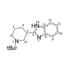 CC(C)(C)N1CCCC(c2nc3ccccc3[nH]2)C1